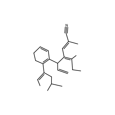 C=CC(C1=C(/C(=C/C)CC(C)C)CCC=C1)C(/C=C(\C)C#N)=C(/C)CC